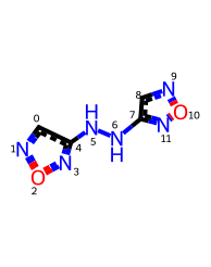 c1nonc1NNc1cnon1